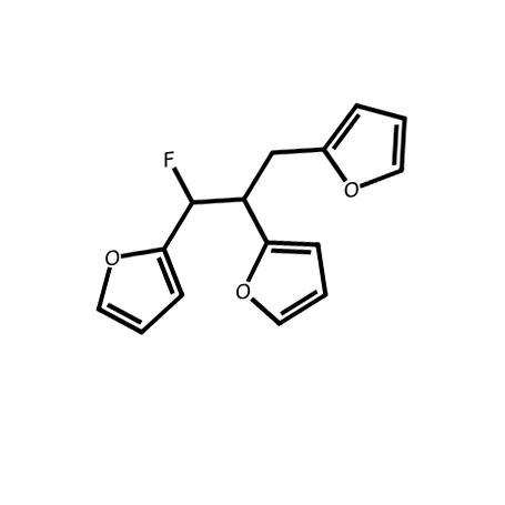 FC(c1ccco1)C(Cc1ccco1)c1ccco1